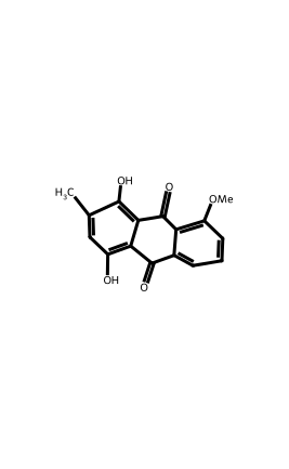 COc1cccc2c1C(=O)c1c(O)c(C)cc(O)c1C2=O